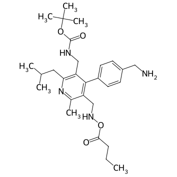 CCCC(=O)ONCc1c(C)nc(CC(C)C)c(CNC(=O)OC(C)(C)C)c1-c1ccc(CN)cc1